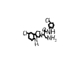 NCC(C(=O)Nc1cccc(Cl)c1)N1CCc2c([nH]c3ccc(Cl)cc23)C1